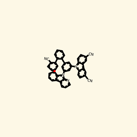 N#Cc1ccc2c(c1)c1cc(C#N)ccc1n2-c1cc(-c2ccccc2-c2ccccc2C#N)cc(-n2c3ccccc3c3cccnc32)c1